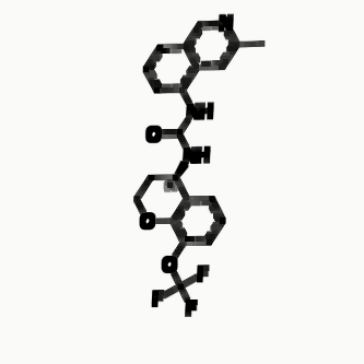 Cc1cc2c(NC(=O)N[C@@H]3CCOc4c(OC(F)(F)F)cccc43)cccc2cn1